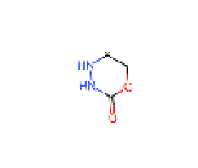 O=C1NN[C]CO1